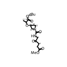 COC(=O)CCC(=O)CNC(=O)N1CC[C@H](OC(C)C(=O)OC(C)(C)C)C1